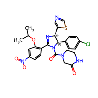 CC(C)Oc1cc([N+](=O)[O-])ccc1C1=N[C@@H](c2cncs2)[C@@H](c2ccc(Cl)cc2)N1C(=O)N1CCNC(=O)C1